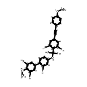 CCCCOc1ccc(C#Cc2cc(F)c(C(F)(F)Oc3ccc(-c4cc(F)c(OC(F)(F)F)c(F)c4)c(F)c3)c(F)c2)cc1